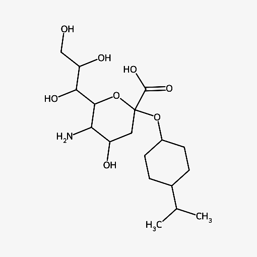 CC(C)C1CCC(OC2(C(=O)O)CC(O)C(N)C(C(O)C(O)CO)O2)CC1